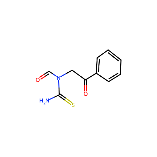 NC(=S)N(C=O)CC(=O)c1ccccc1